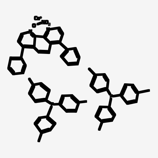 Cc1ccc(P(c2ccc(C)cc2)c2ccc(C)cc2)cc1.Cc1ccc(P(c2ccc(C)cc2)c2ccc(C)cc2)cc1.O=[N+]([O-])[O-].[Cu+].c1ccc(-c2ccnc3c2ccc2c(-c4ccccc4)ccnc23)cc1